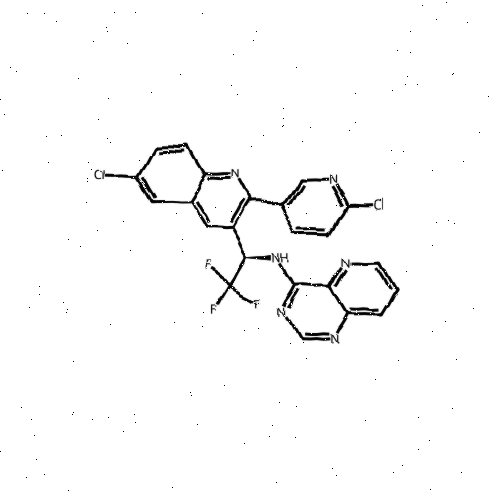 FC(F)(F)[C@H](Nc1ncnc2cccnc12)c1cc2cc(Cl)ccc2nc1-c1ccc(Cl)nc1